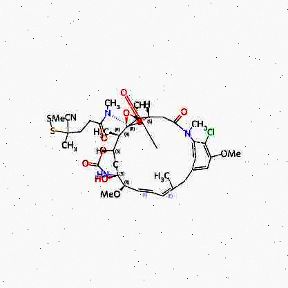 COc1cc2cc(c1Cl)N(C)C(=O)C[C@@H]1OC(=O)[C@H](N(C)C(=O)CCC(C)(C#N)SSC)[C@]3(O[C@@]13C)[C@H](C)[C@@H]1C[C@@](O)(NC(=O)O1)[C@H](OC)/C=C/C=C(\C)C2